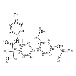 O=C(Nc1ccc(F)cc1)C1(c2ccc(-c3ccc(OC(F)F)cc3CO)cc2)COC1